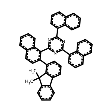 CC1(C)c2ccccc2-c2cccc(-c3ccc4ccccc4c3-c3nc(-c4cccc5ccccc45)nc(-c4cccc5ccccc45)n3)c21